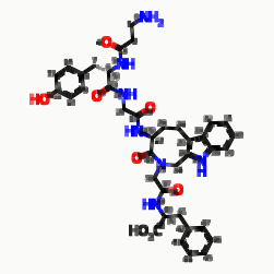 NCCC(=O)N[C@@H](Cc1ccc(O)cc1)C(=O)NCC(=O)N[C@H]1CCc2c([nH]c3ccccc23)CN(CC(=O)N[C@@H](Cc2ccccc2)C(=O)O)C1=O